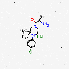 CC(C)C(N)C(=O)N1CCN(c2ccc(Cl)cc2)C(C)(C)C1.Cl